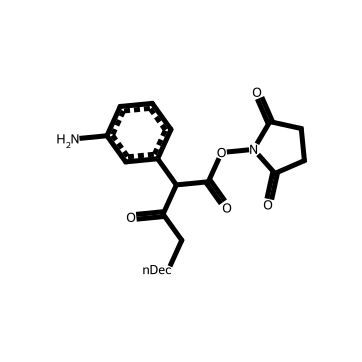 CCCCCCCCCCCC(=O)C(C(=O)ON1C(=O)CCC1=O)c1cccc(N)c1